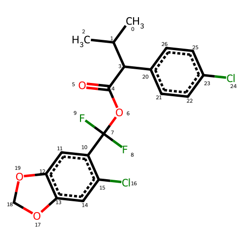 CC(C)C(C(=O)OC(F)(F)c1cc2c(cc1Cl)OCO2)c1ccc(Cl)cc1